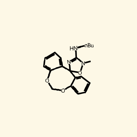 CCCCNC1=NC2(ON1C)c1ccccc1OCOc1ccccc12